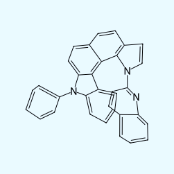 c1ccc(-n2c3ccccc3c3c4c(ccc5ccn(-c6ccc7ccccc7n6)c54)ccc32)cc1